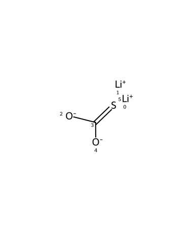 [Li+].[Li+].[O-]C([O-])=S